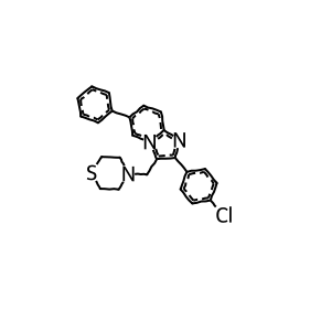 Clc1ccc(-c2nc3ccc(-c4ccccc4)cn3c2CN2CCSCC2)cc1